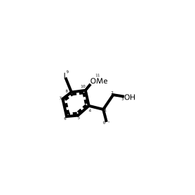 [CH2]C(CO)c1cccc(I)c1OC